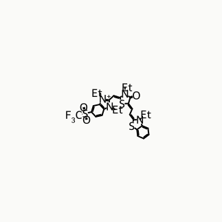 CCN1C(=CC=c2sc(=Cc3n(CC)c4ccc(S(=O)(=O)C(F)(F)F)cc4[n+]3CC)n(CC)c2=O)Sc2ccccc21